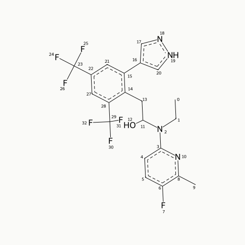 CCN(c1ccc(F)c(C)n1)C(O)Cc1c(-c2cn[nH]c2)cc(C(F)(F)F)cc1C(F)(F)F